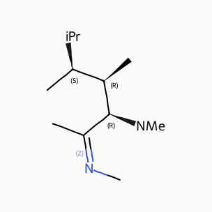 C/N=C(/C)[C@H](NC)[C@H](C)[C@@H](C)C(C)C